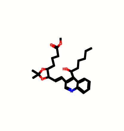 CCCCCC(O)c1c(/C=C/C2OC(C)(C)OC2CCCC(=O)OC)cnc2ccccc12